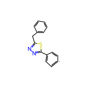 [c]1ccc(-c2nnc(Cc3ccccc3)s2)cc1